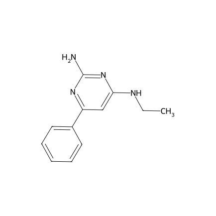 CCNc1cc(-c2ccccc2)nc(N)n1